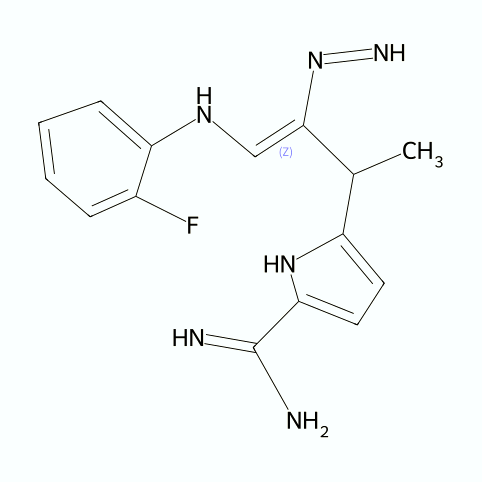 CC(/C(=C/Nc1ccccc1F)N=N)c1ccc(C(=N)N)[nH]1